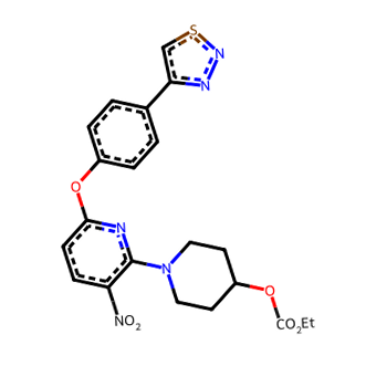 CCOC(=O)OC1CCN(c2nc(Oc3ccc(-c4csnn4)cc3)ccc2[N+](=O)[O-])CC1